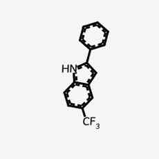 FC(F)(F)c1ccc2[nH]c(-c3ccccc3)cc2c1